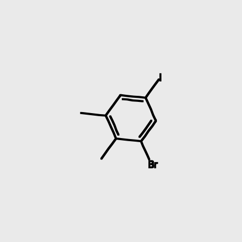 Cc1cc(I)cc(Br)c1C